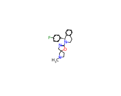 CN1CCC2(CN=C(N3CCc4ccccc4[C@@H]3c3ccc(F)cc3)O2)C1